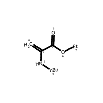 C=C(NCCCC)C(=O)OCC